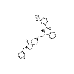 COc1cccc(C(=O)NC(CCN2CCC3(CC2)CCN(Cc2cccnc2)C3=O)c2ccccc2)c1